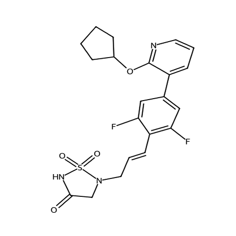 O=C1CN(C/C=C/c2c(F)cc(-c3cccnc3OC3CCCC3)cc2F)S(=O)(=O)N1